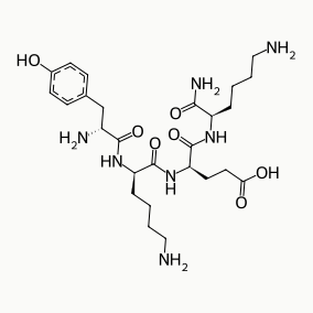 NCCCC[C@@H](NC(=O)[C@@H](CCC(=O)O)NC(=O)[C@@H](CCCCN)NC(=O)[C@H](N)Cc1ccc(O)cc1)C(N)=O